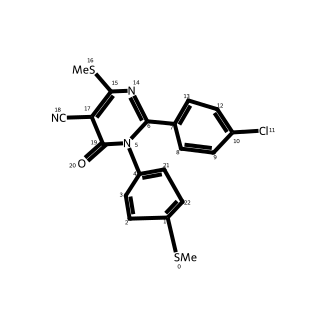 CSc1ccc(-n2c(-c3ccc(Cl)cc3)nc(SC)c(C#N)c2=O)cc1